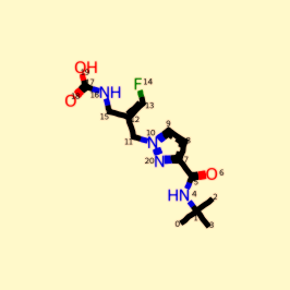 CC(C)(C)NC(=O)c1ccn(CC(=CF)CNC(=O)O)n1